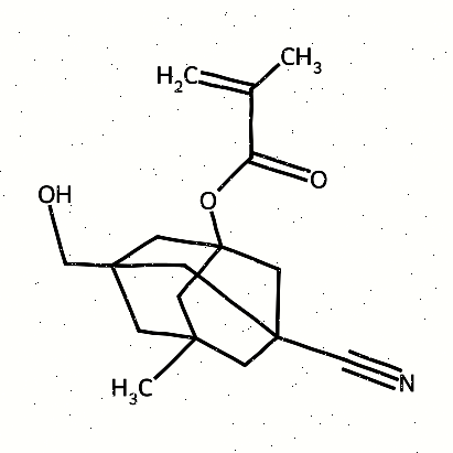 C=C(C)C(=O)OC12CC3(C)CC(C#N)(CC(CO)(C3)C1)C2